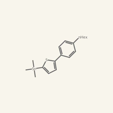 CCCCCCc1ccc(-c2cc[c]([Sn]([CH3])([CH3])[CH3])s2)cc1